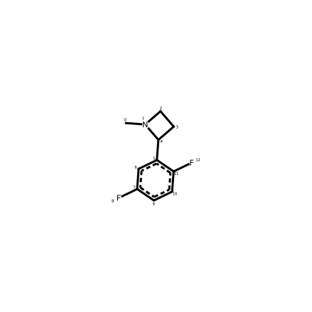 CN1CCC1c1cc(F)ccc1F